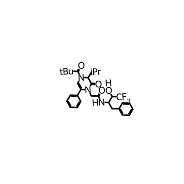 CC(C)C1C(=O)N(CC(=O)NC(Cc2ccccc2)C(O)C(F)(F)F)C(c2ccccc2)=CN1C(=O)C(C)(C)C